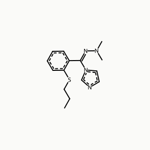 CCCSc1ccccc1C(=NN(C)C)n1ccnc1